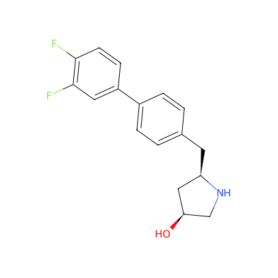 O[C@@H]1CN[C@H](Cc2ccc(-c3ccc(F)c(F)c3)cc2)C1